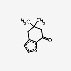 CC1(C)CC(=O)c2sccc2C1